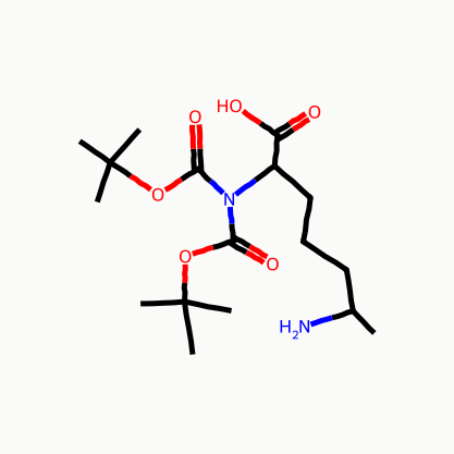 CC(N)CCCC(C(=O)O)N(C(=O)OC(C)(C)C)C(=O)OC(C)(C)C